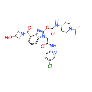 CC(C)N1CCC(NC(=O)Oc2nc3c(C(=O)N4CC(O)C4)cccc3n2CC(=O)Nc2ccc(Cl)cn2)CC1